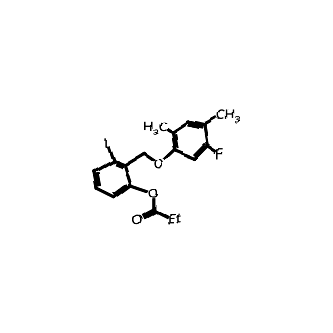 CCC(=O)Oc1cccc(I)c1COc1cc(F)c(C)cc1C